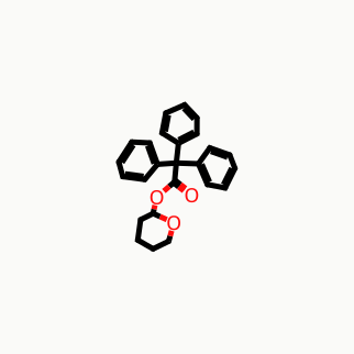 O=C(OC1CCCCO1)C(c1ccccc1)(c1ccccc1)c1ccccc1